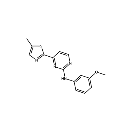 COc1cccc(Nc2nccc(-c3ncc(C)s3)n2)c1